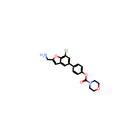 NCc1cc2cc(-c3ccc(OC(=O)N4CCOCC4)cc3)cc(Cl)c2o1